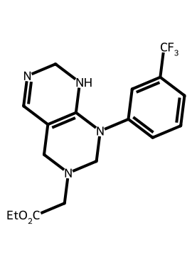 CCOC(=O)CN1CC2=C(NCN=C2)N(c2cccc(C(F)(F)F)c2)C1